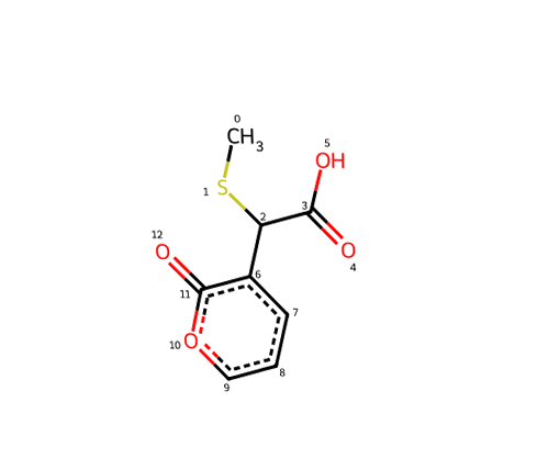 CSC(C(=O)O)c1cccoc1=O